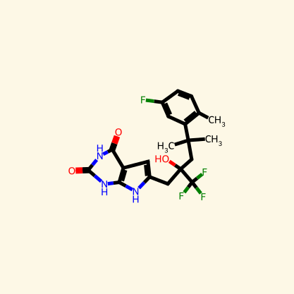 Cc1ccc(F)cc1C(C)(C)CC(O)(Cc1cc2c(=O)[nH]c(=O)[nH]c2[nH]1)C(F)(F)F